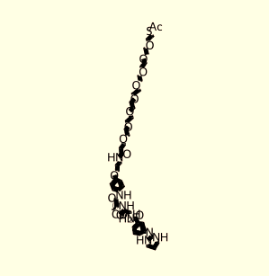 CC(=O)SCCOCCOCCOCCOCCOCCOCCOCCOCCC(=O)NCCCOc1ccc(NC(=O)[C@H](CC(=O)O)NC(=O)CNC(=O)c2cccc(N=C3NCCCN3)c2)cc1